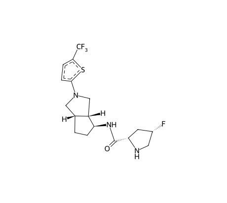 O=C(N[C@H]1CC[C@@H]2CN(c3ccc(C(F)(F)F)s3)C[C@@H]21)[C@@H]1C[C@H](F)CN1